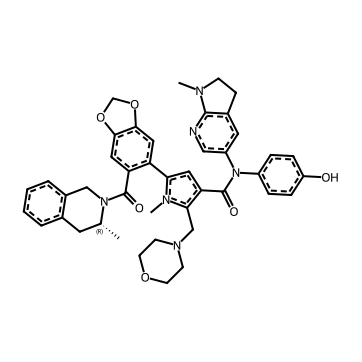 C[C@@H]1Cc2ccccc2CN1C(=O)c1cc2c(cc1-c1cc(C(=O)N(c3ccc(O)cc3)c3cnc4c(c3)CCN4C)c(CN3CCOCC3)n1C)OCO2